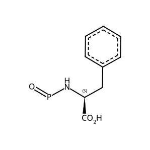 O=PN[C@@H](Cc1ccccc1)C(=O)O